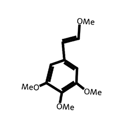 COC=Cc1cc(OC)c(OC)c(OC)c1